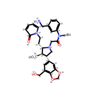 CCCCN(C(=O)CN1C[C@H](c2cc(CO)c3c(c2)OCO3)[C@@H](C(=O)O)[C@@H]1CCn1ccccc1=O)c1cccc(CN)c1